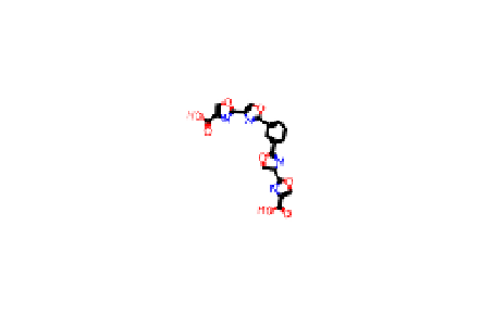 O=C(O)c1coc(-c2coc(-c3cccc(-c4nc(-c5nc(C(=O)O)co5)co4)c3)n2)n1